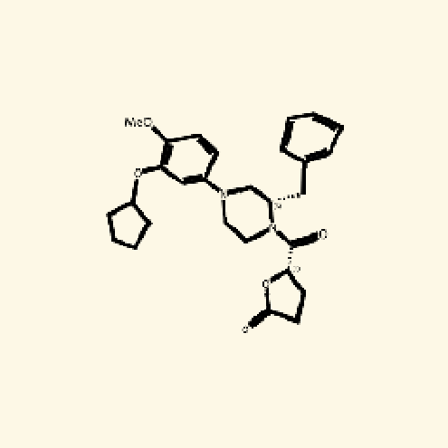 COc1ccc(N2CCN(C(=O)[C@@H]3CCC(=O)O3)[C@@H](Cc3ccccc3)C2)cc1OC1CCCC1